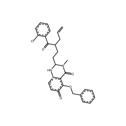 C=CCC(CCC1Nn2ccc(=O)c(OCc3ccccc3)c2C(=O)N1C)C(=O)c1ccccc1Cl